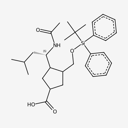 CC(=O)N[C@@H](CC(C)C)C1CC(C(=O)O)CC1CO[Si](c1ccccc1)(c1ccccc1)C(C)(C)C